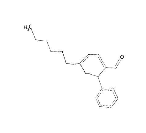 CCCCCCC1=CC=C(C=O)C(c2ccccc2)C1